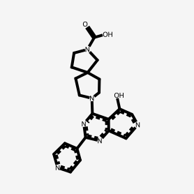 O=C(O)N1CCC2(CCN(c3nc(-c4ccncc4)nc4cncc(O)c34)CC2)C1